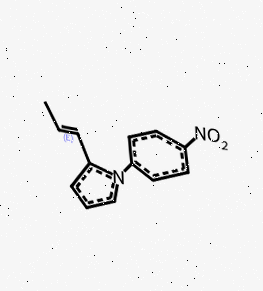 C/C=C/c1cccn1-c1ccc([N+](=O)[O-])cc1